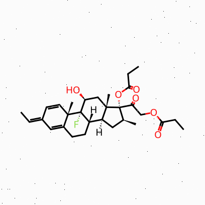 C/C=C1\C=C[C@@]2(C)C(=C1)CC[C@H]1[C@@H]3C[C@H](C)[C@](OC(=O)CC)(C(=O)COC(=O)CC)[C@@]3(C)C[C@H](O)[C@@]12F